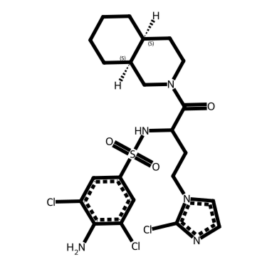 Nc1c(Cl)cc(S(=O)(=O)NC(CCn2ccnc2Cl)C(=O)N2CC[C@@H]3CCCC[C@@H]3C2)cc1Cl